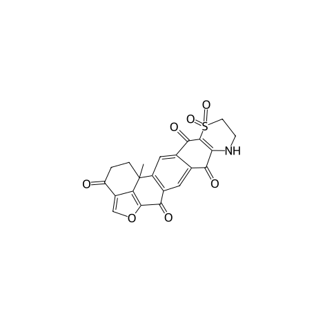 CC12CCC(=O)c3coc(c31)C(=O)c1cc3c(cc12)C(=O)C1=C(NCCS1(=O)=O)C3=O